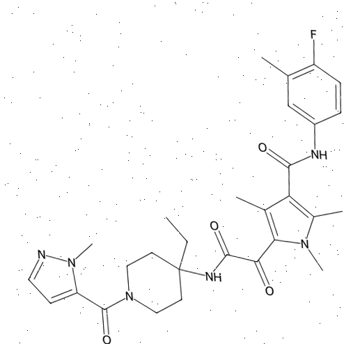 CCC1(NC(=O)C(=O)c2c(C)c(C(=O)Nc3ccc(F)c(C)c3)c(C)n2C)CCN(C(=O)c2ccnn2C)CC1